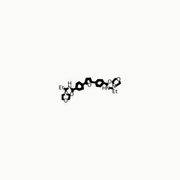 CCC(NC(=O)c1ccc(-c2ccc(-c3ccc(C(=O)NC(CC)N4CCOCC4)cc3)o2)cc1)N1CCOCC1